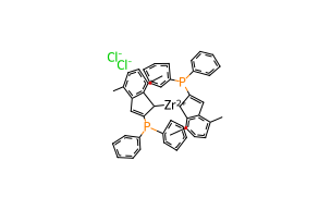 Cc1ccc(C)c2c1C=C(P(c1ccccc1)c1ccccc1)[CH]2[Zr+2][CH]1C(P(c2ccccc2)c2ccccc2)=Cc2c(C)ccc(C)c21.[Cl-].[Cl-]